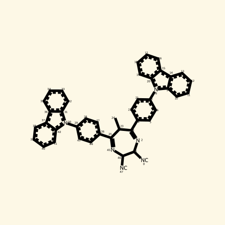 [C-]#[N+]C1N=C(c2ccc(-n3c4ccccc4c4ccccc43)cc2)C(C)C(c2ccc(-n3c4ccccc4c4ccccc43)cc2)=NC1[N+]#[C-]